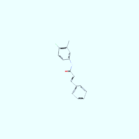 Cc1cc(NC(=O)C=Cc2ccccc2)ccc1Cl